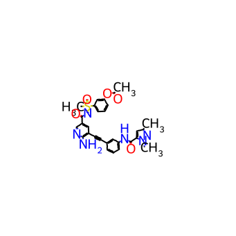 CC(=O)Oc1cccc(S(C)(=O)=NC(=O)c2cnc(N)c(C#Cc3cccc(NC(=O)c4cc(C)nn4C)c3)c2)c1